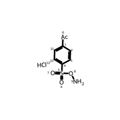 CC(=O)c1ccc(S(=O)(=O)ON)cc1.Cl